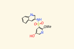 COc1ncc(O)cc1S(=O)(=O)Nc1cnc2ccccc2c1